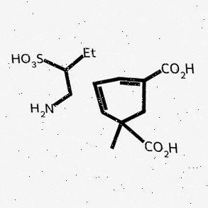 CC1(C(=O)O)C=CC=C(C(=O)O)C1.CCC(CN)S(=O)(=O)O